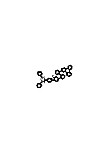 c1ccc(-c2nc(-c3ccccc3)nc(-c3ccc4c(c3)sc3cc(-c5ccccc5-c5ccccc5-c5ccc6c7ccccc7c7ccccc7c6c5)ccc34)n2)cc1